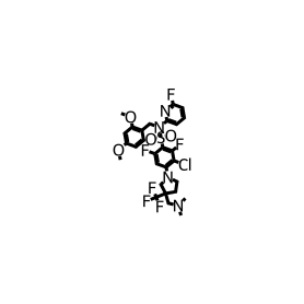 COc1ccc(CN(c2cccc(F)n2)S(=O)(=O)c2c(F)cc(N3CCC(CN(C)C)(C(F)(F)F)C3)c(Cl)c2F)c(OC)c1